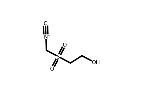 [C-]#[N+]CS(=O)(=O)CCO